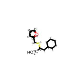 O=C(O)C(CC1CCCCC1)SCc1ccco1